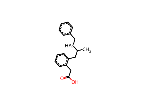 CC(Cc1ccccc1CC(=O)O)[AsH]Cc1ccccc1